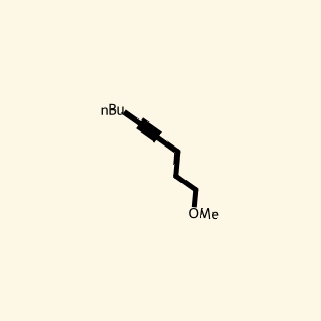 [CH2]CCCC#CCCCOC